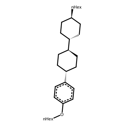 CCCCCCOc1ccc([C@H]2CC[C@H]([C@H]3CC[C@H](CCCCCC)CC3)CC2)cc1